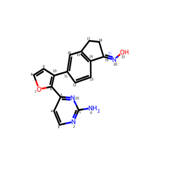 Nc1nccc(-c2occc2-c2ccc3c(c2)CC/C3=N\O)n1